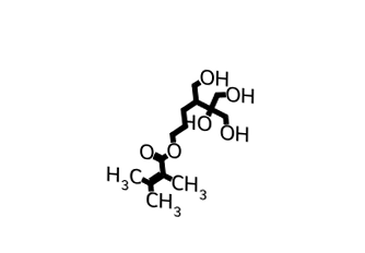 CC(C)=C(C)C(=O)OCCCC(CO)C(O)(CO)CO